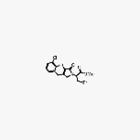 COC(=O)C(CC(C)C)N1CC2=C(Oc3c(Cl)cccc3C2)C1=O